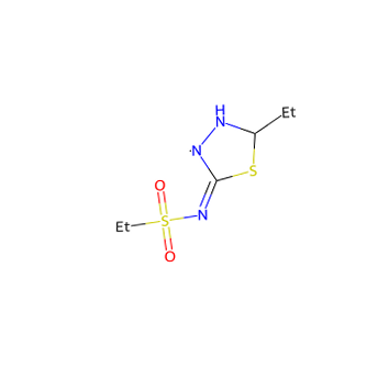 CCC1N[N]C(=NS(=O)(=O)CC)S1